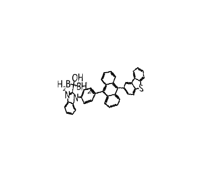 BC(B)(O)c1nc2ccccc2n1-c1ccc(-c2c3ccccc3c(-c3ccc4sc5ccccc5c4c3)c3ccccc23)cc1